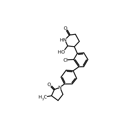 CC1CCN(c2ccc(-c3cccc(C4CCC(=O)NC4O)c3Cl)cc2)C1=O